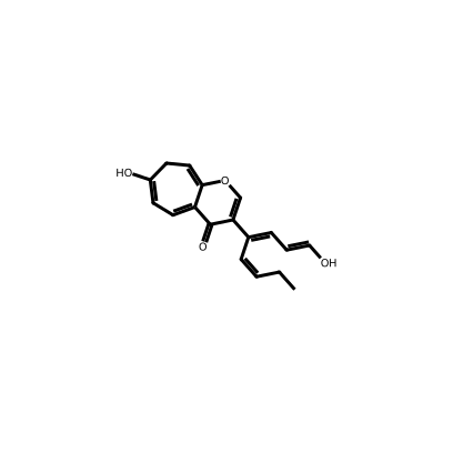 CC\C=C/C(=C\C=C\O)c1coc2c(c1=O)=CC=C(O)CC=2